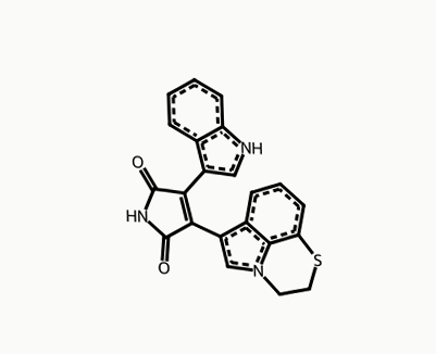 O=C1NC(=O)C(c2cn3c4c(cccc24)SCC3)=C1c1c[nH]c2ccccc12